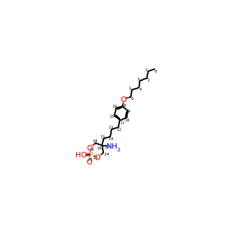 CCCCCCCOc1ccc(CCCCC2(N)COP(=O)(O)OC2)cc1